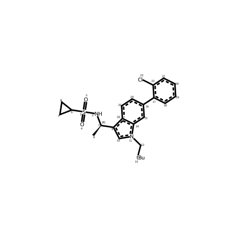 C[C@@H](NS(=O)(=O)C1CC1)c1cn(CC(C)(C)C)c2cc(-c3ccccc3Cl)ccc12